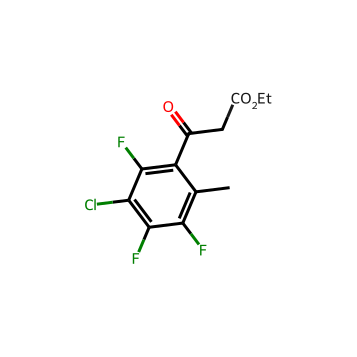 CCOC(=O)CC(=O)c1c(C)c(F)c(F)c(Cl)c1F